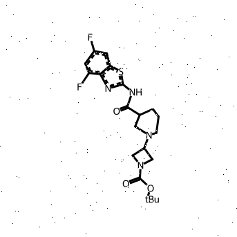 CC(C)(C)OC(=O)N1CC(N2CCCC(C(=O)Nc3nc4c(F)cc(F)cc4s3)C2)C1